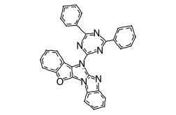 c1ccc(-c2nc(-c3ccccc3)nc(-n3c4c5ccccc5oc4n4c5ccccc5nc34)n2)cc1